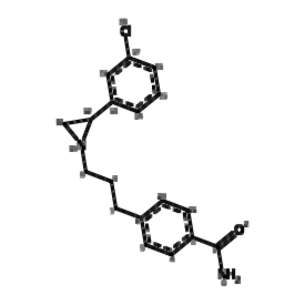 NC(=O)c1ccc(CCCN2CC2c2cccc(Cl)c2)cc1